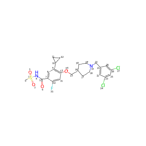 CS(=O)(=O)NC(=O)c1cc(C2CC2)c(OCC2CCN(Cc3cc(Cl)cc(Cl)c3)CC2)cc1F